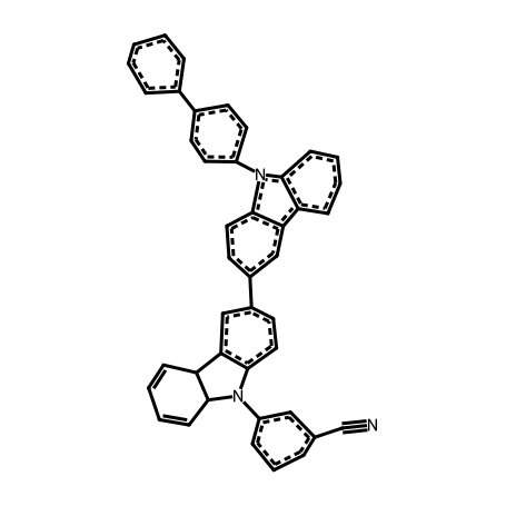 N#Cc1cccc(N2c3ccc(-c4ccc5c(c4)c4ccccc4n5-c4ccc(-c5ccccc5)cc4)cc3C3C=CC=CC32)c1